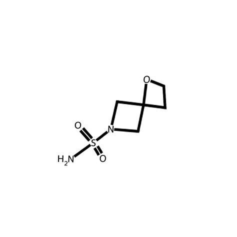 NS(=O)(=O)N1CC2(CCO2)C1